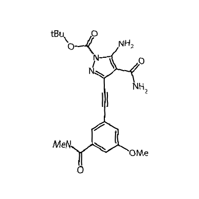 CNC(=O)c1cc(C#Cc2nn(C(=O)OC(C)(C)C)c(N)c2C(N)=O)cc(OC)c1